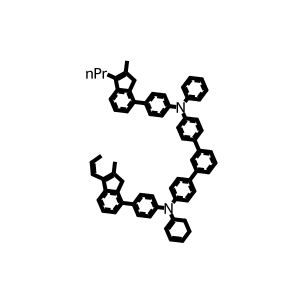 C/C=C\C1=C(C)Cc2c1cccc2-c1ccc(N(C2=CC=CCC2)c2ccc(-c3cccc(-c4ccc(N(c5ccccc5)c5ccc(-c6cccc7c6CC(C)=C7CCC)cc5)cc4)c3)cc2)cc1